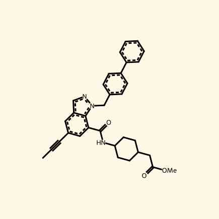 CC#Cc1cc(C(=O)NC2CCC(CC(=O)OC)CC2)c2c(cnn2Cc2ccc(-c3ccccc3)cc2)c1